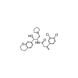 C=C(CC(=O)N[C@H](CN1CCCC1)[C@H](O)c1ccc2c(c1)OCCC2)c1ccc(Cl)c(Cl)c1